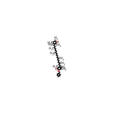 CC1=C(/C=C/C(C)=C/C=C/C(C)=C/C=C/C=C(C)/C=C/C=C(C)/C=C/C2=C(C)C(=O)C(OCc3ccccc3)CC2(C)C)C(C)(C)CC(C)C1=O